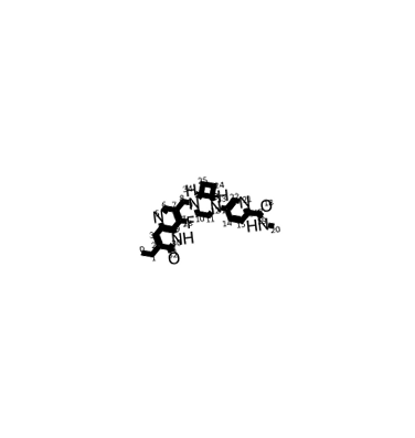 CCc1cc2ncc(CN3CCN(c4ccc(C(=O)NC)nc4)[C@H]4CC[C@H]43)c(F)c2[nH]c1=O